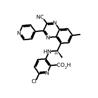 Cc1cc([C@@H](C)Nc2ccc(Cl)nc2C(=O)O)c2nc(-c3ccncc3)c(C#N)nc2c1